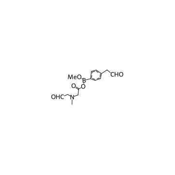 COB(OC(=O)CN(C)CC=O)c1ccc(CC=O)cc1